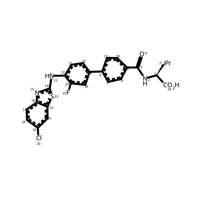 CC(C)[C@H](NC(=O)c1ccc(-c2ccc(Nc3nc4ccc(Cl)cc4s3)c(F)c2)cc1)C(=O)O